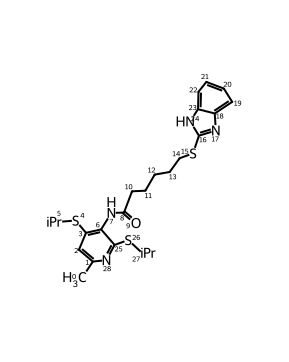 Cc1cc(SC(C)C)c(NC(=O)CCCCCSc2nc3ccccc3[nH]2)c(SC(C)C)n1